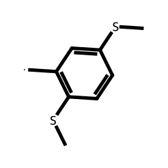 [CH2]c1cc(SC)ccc1SC